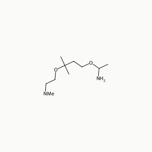 CNCCOC(C)(C)CCOC(C)N